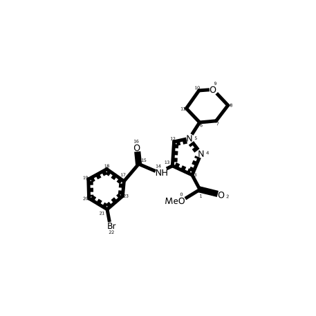 COC(=O)c1nn(C2CCOCC2)cc1NC(=O)c1cccc(Br)c1